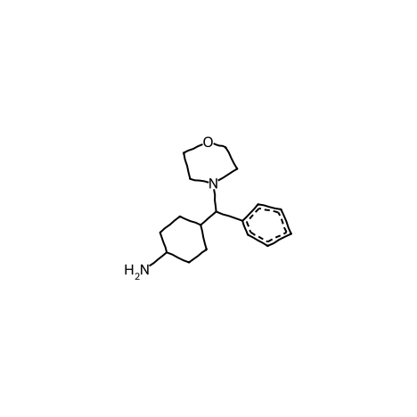 NC1CCC(C(c2ccccc2)N2CCOCC2)CC1